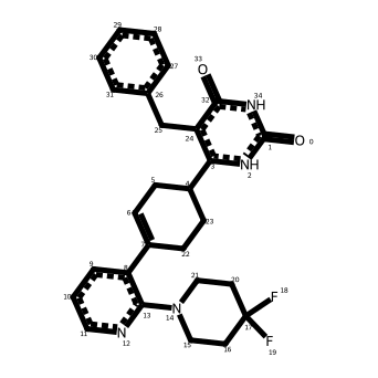 O=c1[nH]c(C2CC=C(c3cccnc3N3CCC(F)(F)CC3)CC2)c(Cc2ccccc2)c(=O)[nH]1